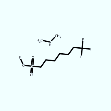 CNC.O=S(=O)(CCCCCCC(F)(F)F)OF